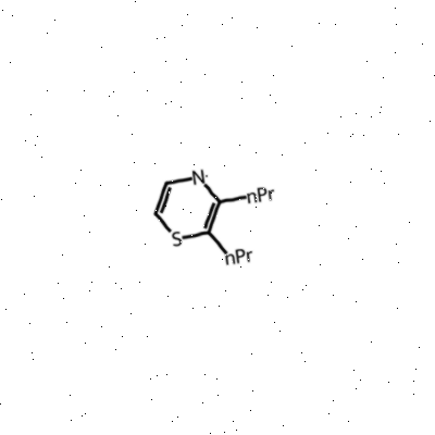 CCCC1=C(CCC)SC=C[N]1